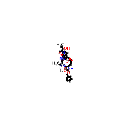 CCC(O)c1coc(-c2nc3oc2[C@@]24c5ccccc5NC2Oc2ccc(cc24)C[C@H](NC(=O)OCc2ccccc2)C(=O)N[C@H]3C(C)C)n1